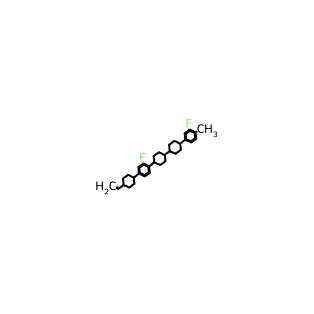 C=CC1CCC(c2ccc(C3CCC(C4CCC(c5ccc(C)c(F)c5)CC4)CC3)c(F)c2)CC1